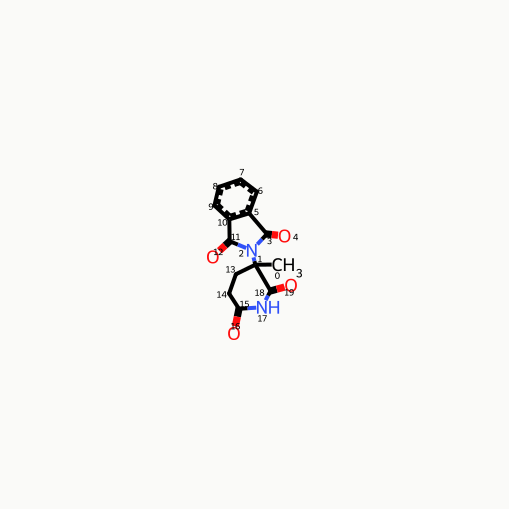 CC1(N2C(=O)c3ccccc3C2=O)CCC(=O)NC1=O